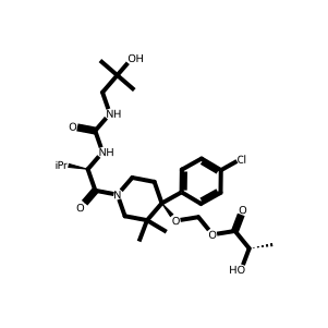 CC(C)[C@@H](NC(=O)NCC(C)(C)O)C(=O)N1CC[C@](OCOC(=O)[C@H](C)O)(c2ccc(Cl)cc2)C(C)(C)C1